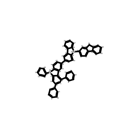 c1ccc(-c2cc(-c3ccccc3)c3c4cc(-c5ccc6c(c5)c5ccccc5n6-c5ccc6c(c5)Cc5ccccc5-6)ccc4n(-c4ccccc4)c3c2)cc1